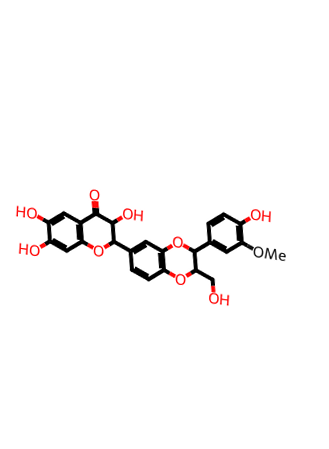 COc1cc(C2Oc3cc(C4Oc5cc(O)c(O)cc5C(=O)C4O)ccc3OC2CO)ccc1O